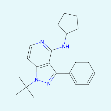 CC(C)(C)n1nc(-c2ccccc2)c2c(NC3CCCC3)nccc21